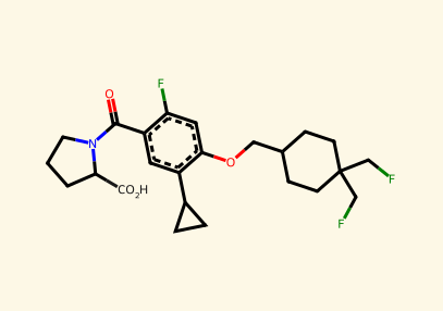 O=C(O)C1CCCN1C(=O)c1cc(C2CC2)c(OCC2CCC(CF)(CF)CC2)cc1F